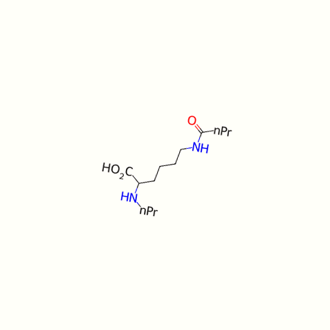 CCCNC(CCCCNC(=O)CCC)C(=O)O